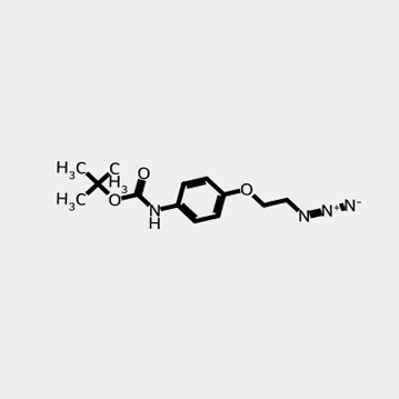 CC(C)(C)OC(=O)Nc1ccc(OCCN=[N+]=[N-])cc1